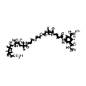 CC(C)NC(=O)c1cc(NC(=O)CCNC(=O)C(C)(C)CCOCCOCCNC(=O)C(C)(C)CC[C@H](NC(=O)C(C)(C)CC(C)(C)CC(=O)O)C(=O)O)cc(C(=O)NC(C)C)c1